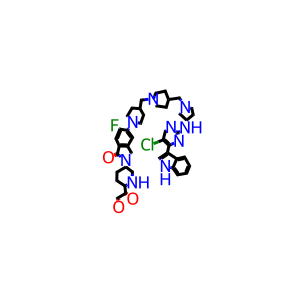 O=CC(=O)C1CCC(N2Cc3cc(N4CCC(CN5CCC(CN6CCC(Nc7ncc(Cl)c(-c8c[nH]c9ccccc89)n7)C6)CC5)CC4)c(F)cc3C2=O)CN1